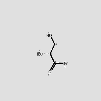 CC(C)C(=O)[C@@H](CO)C(C)(C)C